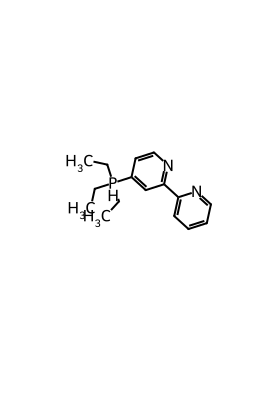 CC[PH](CC)(CC)c1ccnc(-c2ccccn2)c1